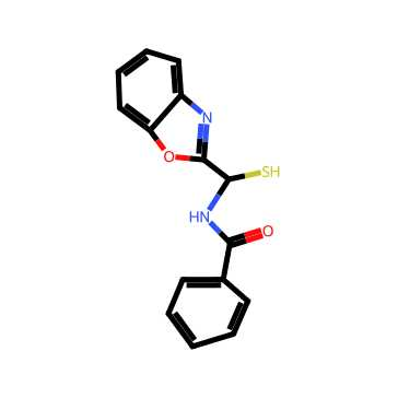 O=C(NC(S)c1nc2ccccc2o1)c1ccccc1